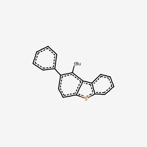 CC(C)(C)c1c(-c2ccccc2)ccc2sc3ccccc3c12